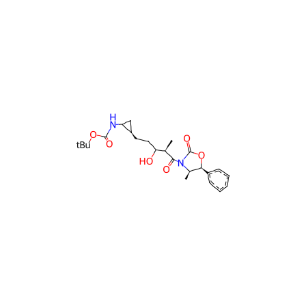 C[C@@H]1[C@H](c2ccccc2)OC(=O)N1C(=O)[C@H](C)C(O)CC[C@@H]1CC1NC(=O)OC(C)(C)C